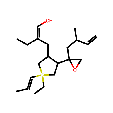 C=CC(C)CC1(C2CS(/C=C/C)(CC)CC2C/C(=C\O)CC)CO1